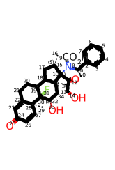 C[C@@H](c1ccccc1)N(C(=O)O)[C@@]1(C(=O)CO)[C@@H](C)CC2C3CCC4=CC(=O)C=C[C@]4(C)C3(F)[C@@H](O)C[C@@]21C